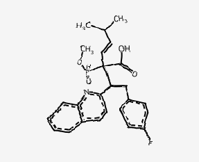 CO[PH](=O)C(C=CC(C)C)(C(=O)O)C(Cc1ccc(F)cc1)c1ccc2ccccc2n1